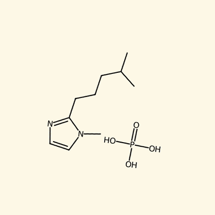 CC(C)CCCc1nccn1C.O=P(O)(O)O